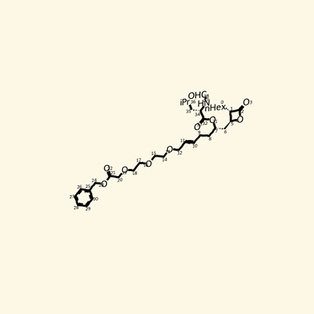 CCCCCC[C@@H]1C(=O)O[C@H]1C[C@H](CC/C=C/COCCOCCOCC(=O)OCc1ccccc1)OC(=O)[C@H](CC(C)C)NC=O